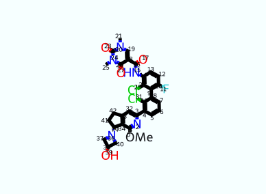 COc1nc(-c2cccc(-c3c(F)ccc(NC(=O)c4cn(C)c(=O)n(C)c4=O)c3Cl)c2Cl)cc2c1[C@H](N1CC(O)C1)CC2